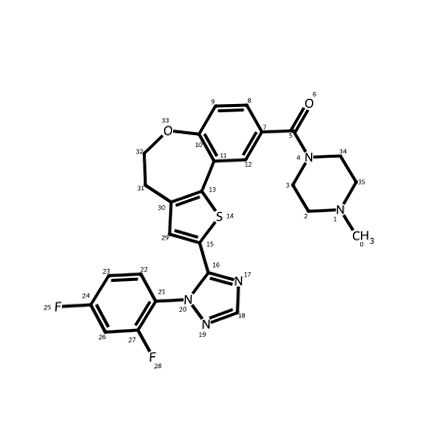 CN1CCN(C(=O)c2ccc3c(c2)-c2sc(-c4ncnn4-c4ccc(F)cc4F)cc2CCO3)CC1